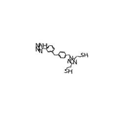 SCCc1nc(CCS)n(Cc2ccc(Cc3cccc(-c4nnn[nH]4)c3)cc2)n1